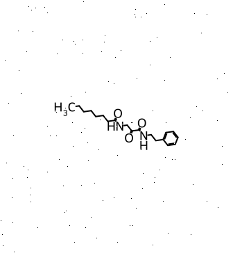 CCCCCCCC(=O)NCC(=O)C(=O)NCCc1ccccc1